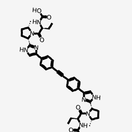 CC[C@H](NC(=O)O)C(=O)N1[C@@H](C)CC[C@H]1c1nc(-c2ccc(C#Cc3ccc(-c4c[nH]c([C@@H]5CC[C@H](C)N5C(=O)[C@H](CC)NC(=O)O)n4)cc3)cc2)c[nH]1